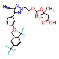 CC(C)(CC(=O)O)OC(=O)OCCn1nc(C#N)c(-c2cccc(OCc3cc(C(F)(F)F)ccc3C(F)(F)F)c2)n1